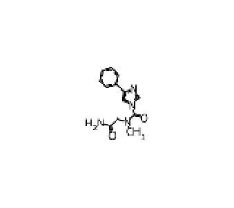 CN(CC(N)=O)C(=O)n1cnc(-c2ccccc2)c1